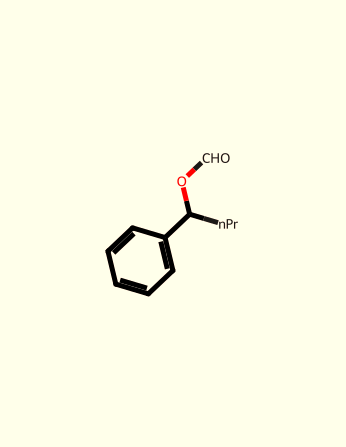 [CH2]CCC(OC=O)c1ccccc1